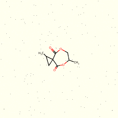 CC1COC(=O)C2(CC2C)C(=O)O1